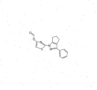 O=COc1csc(-n2nc(-c3ccccc3)c3c2CCC3)n1